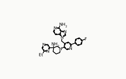 CCc1cncc([C@@]2(N)CCCN(c3cnc(-c4ccc(F)cc4)cc3Cn3cnc4c(N)nccc43)C2)n1